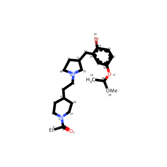 CCC(=O)N1CCC(CCN2CCC(Cc3cc(OC(C)OC)ccc3Br)C2)CC1